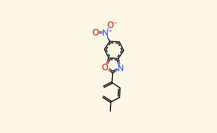 C=C(C)/C=C\C(=C)c1nc2ccc([N+](=O)[O-])cc2o1